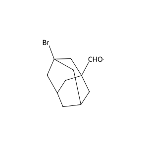 O=[C]C12CC3CC(CC(Br)(C3)C1)C2